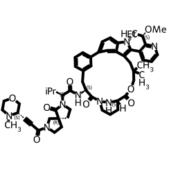 CCn1c(-c2cccnc2[C@H](C)OC)c2c3cc(ccc31)-c1cccc(c1)C[C@H](NC(=O)[C@H](C(C)C)N1CC[C@@]3(CCN(C(=O)C#C[C@H]4COCCN4C)C3)C1=O)C(=O)N1CCC[C@H](N1)C(=O)OCC(C)(C)C2